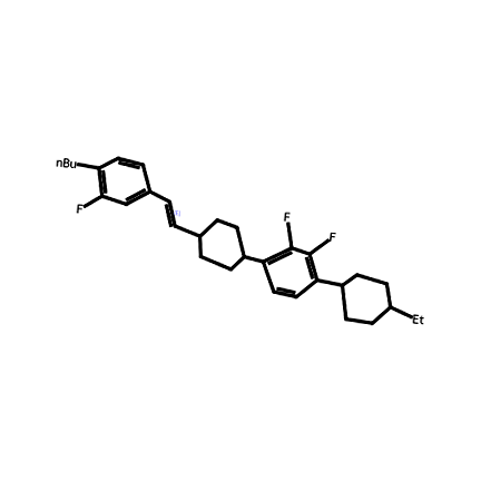 CCCCc1ccc(/C=C/C2CCC(c3ccc(C4CCC(CC)CC4)c(F)c3F)CC2)cc1F